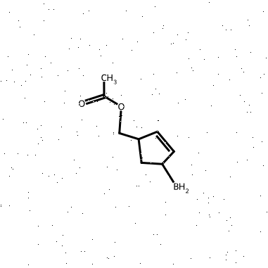 BC1C=CC(COC(C)=O)C1